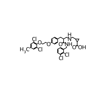 Cc1cc(Cl)c(OCCOc2ccc(CC(CNCC3CC3C(=O)O)C(=O)NCc3cccc(Cl)c3Cl)cc2)c(Cl)c1